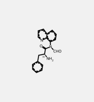 N[C@@H](Cc1ccccc1)C(=O)N(C=O)c1cccc2cccnc12